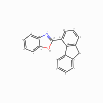 c1ccc2c(c1)Cc1cccc(-c3nc4ccccc4o3)c1-2